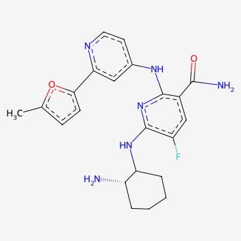 Cc1ccc(-c2cc(Nc3nc(NC4CCCC[C@@H]4N)c(F)cc3C(N)=O)ccn2)o1